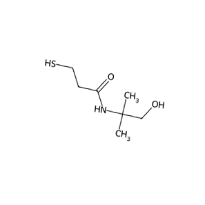 CC(C)(CO)NC(=O)CCS